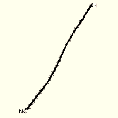 C#CC#CC#CC#CC#CC#CC#CC#CC#CC#CC#CC#CC#CC#CC#CC#CC#CC#CC#CC#CC#CC#CC#CC#CC#CC#CC#CC#CC#N